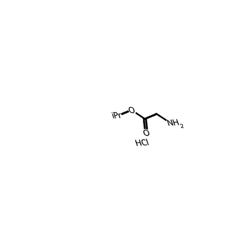 CC(C)OC(=O)CN.Cl